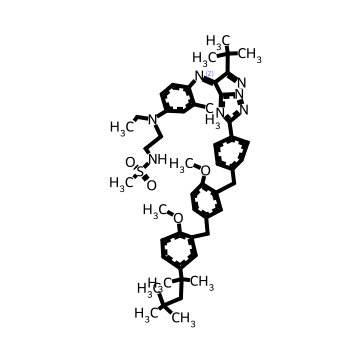 CCN(CCNS(C)(=O)=O)c1ccc(/N=C2/C(C(C)(C)C)=Nn3nc(-c4ccc(Cc5cc(Cc6cc(C(C)(C)CC(C)(C)C)ccc6OC)ccc5OC)cc4)nc32)c(C)c1